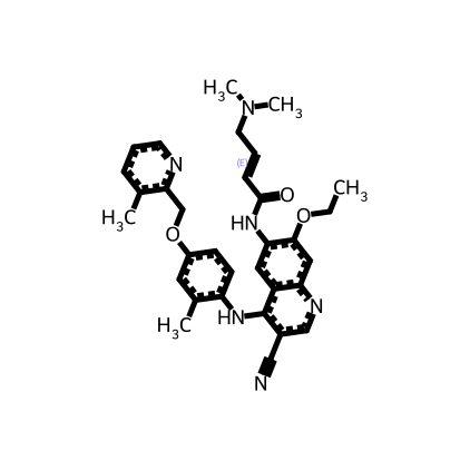 CCOc1cc2ncc(C#N)c(Nc3ccc(OCc4ncccc4C)cc3C)c2cc1NC(=O)/C=C/CN(C)C